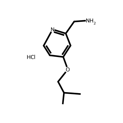 CC(C)COc1ccnc(CN)c1.Cl